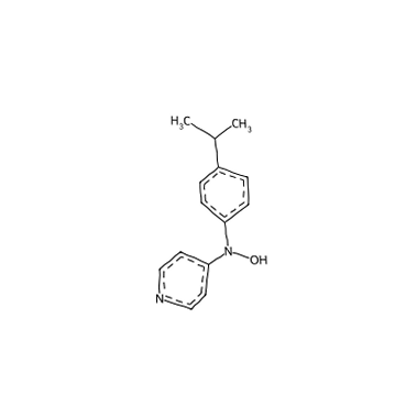 CC(C)c1ccc(N(O)c2ccncc2)cc1